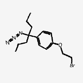 CCCC(CCC)(N=[N+]=[N-])c1ccc(OCCBr)cc1